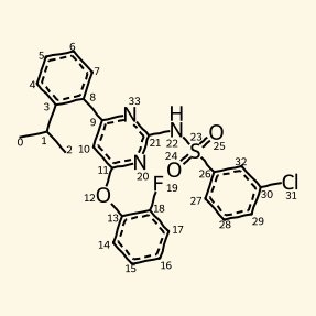 CC(C)c1ccccc1-c1cc(Oc2ccccc2F)nc(NS(=O)(=O)c2cccc(Cl)c2)n1